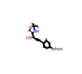 CCCCCc1ccc(C#C[C@H](O)[C@H]2COC(C)(C)N2)cc1